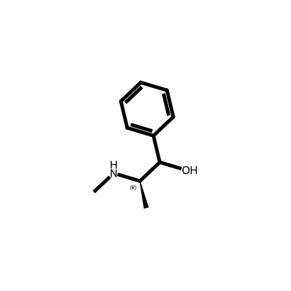 CN[C@H](C)C(O)c1ccccc1